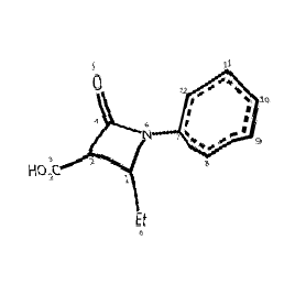 CCC1C(C(=O)O)C(=O)N1c1ccccc1